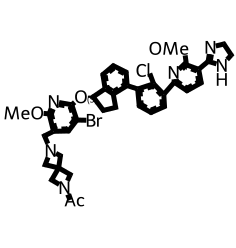 COc1nc(O[C@H]2CCc3c(-c4cccc(-c5ccc(C6=NCCN6)c(OC)n5)c4Cl)cccc32)c(Br)cc1CN1CC2(C1)CN(C(C)=O)C2